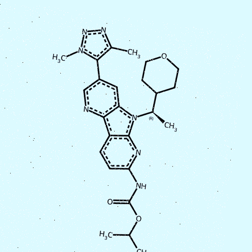 Cc1nnn(C)c1-c1cnc2c3ccc(NC(=O)OC(C)C)nc3n([C@H](C)C3CCOCC3)c2c1